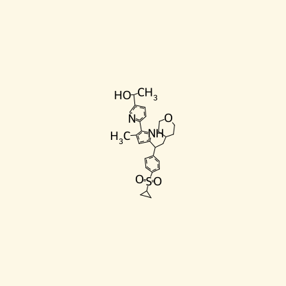 Cc1cc(C(CC2CCOCC2)c2ccc(S(=O)(=O)C3CC3)cc2)[nH]c1-c1ccc(C(C)O)cn1